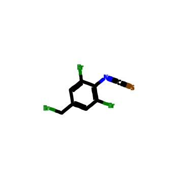 S=C=Nc1c(Br)cc(CBr)cc1Br